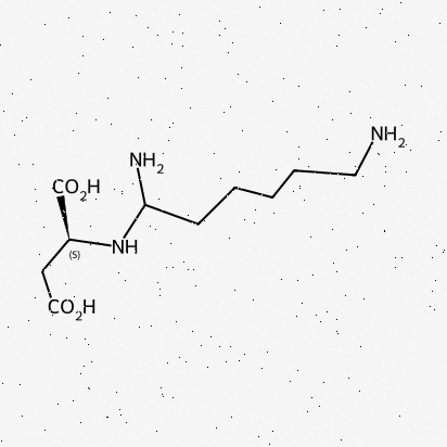 NCCCCCC(N)N[C@@H](CC(=O)O)C(=O)O